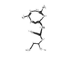 CCC(C)OC(=O)Nc1nc(N)nc(N)n1